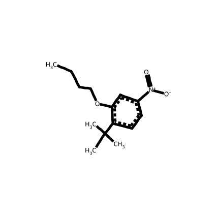 CCCCOc1cc([N+](=O)[O-])ccc1C(C)(C)C